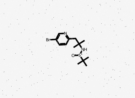 CC(C)(Cc1ccc(Br)cn1)N[S+]([O-])C(C)(C)C